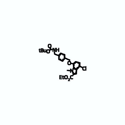 CCOC(=O)c1cc2c(Cl)ccc(OCc3ccc(CNC(=O)OC(C)(C)C)cc3)c2n1C